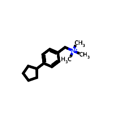 C[N+](C)(C)Cc1ccc(C2CCCC2)cc1